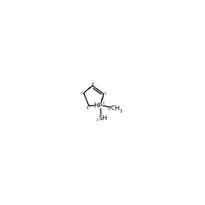 C[PH]1(S)C=CCC1